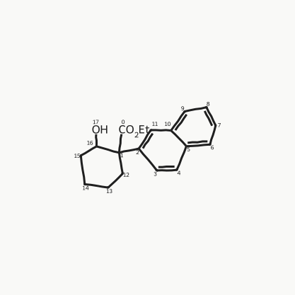 CCOC(=O)C1(c2ccc3ccccc3c2)CCCCC1O